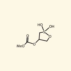 COC(=O)OC1COS(O)(O)C1